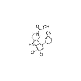 N#Cc1cccc(-c2cc(Cl)c(Cl)c3[nH]c4c(c23)CN(C(=O)CO)CC4)c1